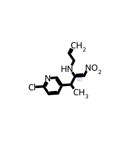 C=CCN/C(=C\[N+](=O)[O-])C(C)c1ccc(Cl)nc1